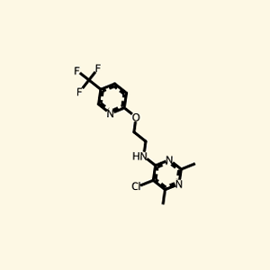 Cc1nc(C)c(Cl)c(NCCOc2ccc(C(F)(F)F)cn2)n1